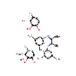 CCCCCCC(=Nc1cc(C)cc(C)c1)C(C)=Nc1cc(C)cc(C)c1.CCc1ccc(O)c(O)c1C(=O)[O-].CCc1ccc(O)c(O)c1C(=O)[O-].[Ni+2]